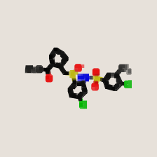 COC(=O)c1ccccc1C[S+]([O-])c1ccc(Cl)cc1NS(=O)(=O)c1ccc(Cl)c(C(F)(F)F)c1